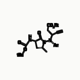 C#CC(CC(=O)OCC)N(C(C)=O)N1C(=O)C(NC(=O)OC(C)(C)C)CC1C